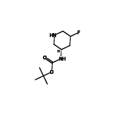 CC(C)(C)OC(=O)N[C@@H]1CNCC(F)C1